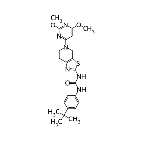 COc1cc(N2CCc3nc(NC(=O)Nc4ccc(C(C)(C)C)cc4)sc3C2)nc(OC)n1